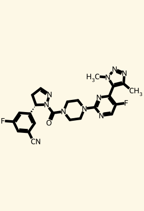 Cc1nnn(C)c1-c1nc(N2CCN(C(=O)N3N=CC[C@H]3c3cc(F)cc(C#N)c3)CC2)ncc1F